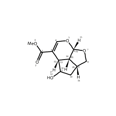 COC(=O)C1=CO[C@@H]2OC[C@@H]3CC(O)[C@H]1[C@@H]32